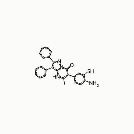 Cc1[nH]c2c(-c3ccccc3)c(-c3ccccc3)nn2c(=O)c1-c1ccc(N)c(S)c1